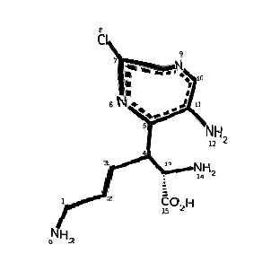 NCCCC(c1nc(Cl)ncc1N)[C@H](N)C(=O)O